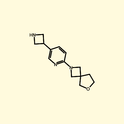 c1cc(N2CC3(CCOC3)C2)ncc1C1CNC1